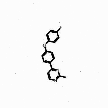 Cc1nccc(-c2ccc(Oc3ccc(F)cc3)cc2)n1